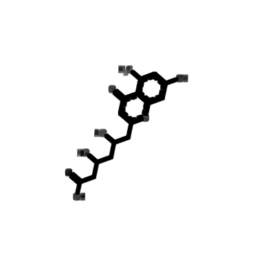 Cc1cc(O)cc2oc(CC(O)CC(O)CC(=O)O)cc(=O)c12